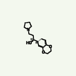 O[C@@H](CCN1CCCC1)[C@H]1C=C2OCCOC2=CC1